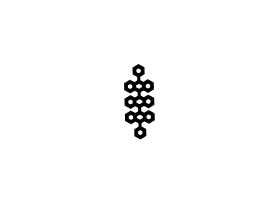 c1ccc(-c2c3ccccc3c(-c3c4ccccc4c(-c4c5ccccc5c(-c5ccccc5)c5ccccc45)c4ccccc34)c3ccccc23)cc1